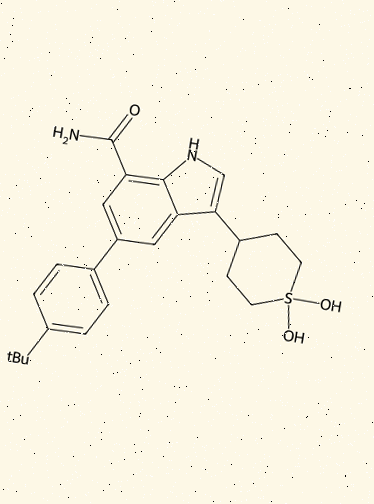 CC(C)(C)c1ccc(-c2cc(C(N)=O)c3[nH]cc(C4CCS(O)(O)CC4)c3c2)cc1